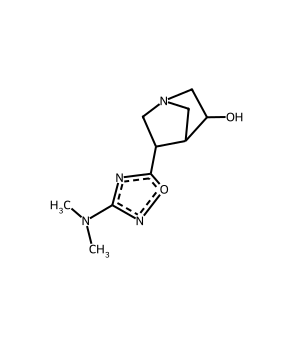 CN(C)c1noc(C2CN3CC(O)C2C3)n1